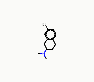 CCc1ccc2c(c1)CC(N(C)C)CC2